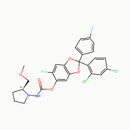 COC[C@@H]1CCCN1NC(=O)Oc1cc2c(cc1F)OC(c1ccc(F)cc1)(c1ccc(Cl)cc1Cl)O2